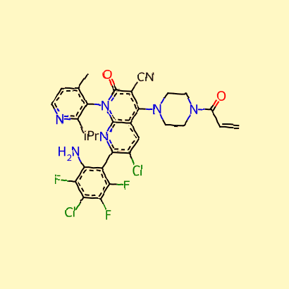 C=CC(=O)N1CCN(c2c(C#N)c(=O)n(-c3c(C)ccnc3C(C)C)c3nc(-c4c(N)c(F)c(Cl)c(F)c4F)c(Cl)cc23)CC1